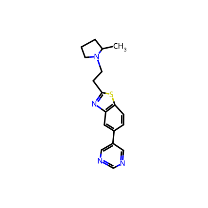 CC1CCCN1CCc1nc2cc(-c3cncnc3)ccc2s1